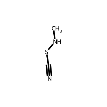 CNSC#N